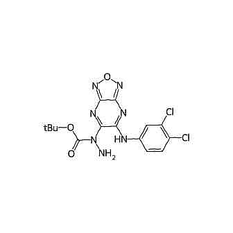 CC(C)(C)OC(=O)N(N)c1nc2nonc2nc1Nc1ccc(Cl)c(Cl)c1